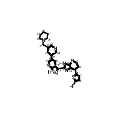 Fc1ccc(-c2ccnc3[nH]c(-c4n[nH]c5ncc(-c6cncc(CN7CCCCC7)c6)cc45)nc23)s1